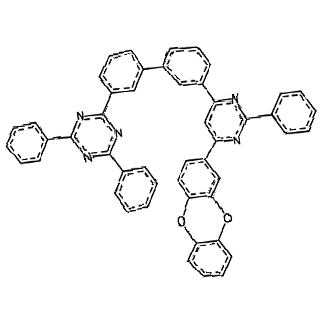 c1ccc(-c2nc(-c3cccc(-c4cccc(-c5nc(-c6ccccc6)nc(-c6ccccc6)n5)c4)c3)cc(-c3ccc4c(c3)Oc3ccccc3O4)n2)cc1